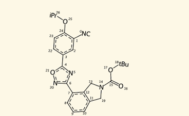 [C-]#[N+]c1cc(-c2nc(-c3cccc4c3CN(C(=O)OC(C)(C)C)C4)no2)ccc1OC(C)C